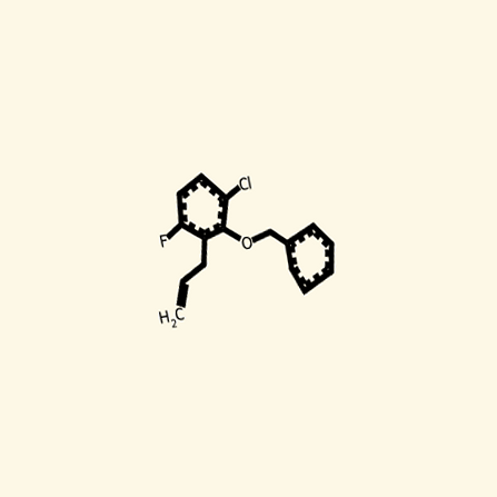 C=CCc1c(F)ccc(Cl)c1OCc1ccccc1